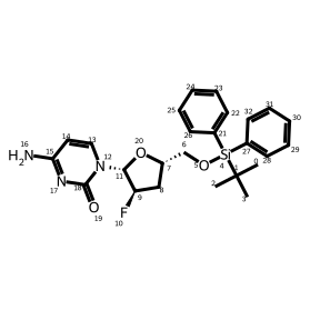 CC(C)(C)[Si](OC[C@@H]1C[C@@H](F)[C@H](n2ccc(N)nc2=O)O1)(c1ccccc1)c1ccccc1